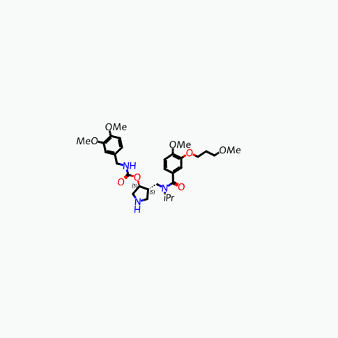 COCCCOc1cc(C(=O)N(C[C@@H]2CNC[C@H]2OC(=O)NCc2ccc(OC)c(OC)c2)C(C)C)ccc1OC